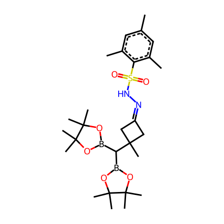 Cc1cc(C)c(S(=O)(=O)NN=C2CC(C)(C(B3OC(C)(C)C(C)(C)O3)B3OC(C)(C)C(C)(C)O3)C2)c(C)c1